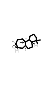 CC1(C)CCC[C@@]2(C)[C@H]1CC[C@@]1(C)C[C@H]3O[C@@]3(C)CC[C@@H]12